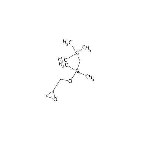 C[Si](C)(C)C[Si](C)(C)OCC1CO1